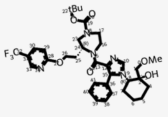 COC[C@]1(O)CCCC[C@H]1n1cnc(C(=O)N2CCN(C(=O)OC(C)(C)C)C[C@H]2CCOc2ccc(C(F)(F)F)cn2)c1-c1ccccc1